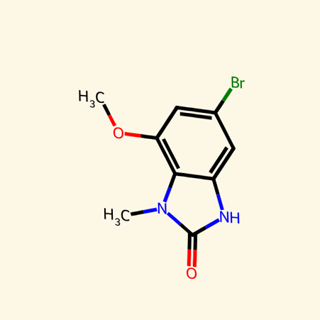 COc1cc(Br)cc2[nH]c(=O)n(C)c12